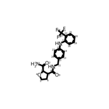 NC(=O)C1OCC[C]1C(=O)NCc1ccc(Nc2ccccc2C(F)(F)F)cc1